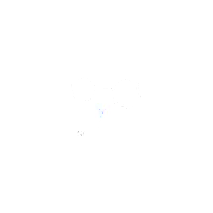 N#CCN1c2ccccc2C2CCCC21